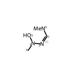 CN/C=N\N(C)O